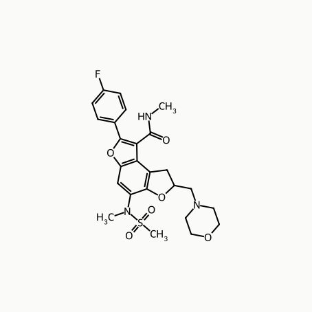 CNC(=O)c1c(-c2ccc(F)cc2)oc2cc(N(C)S(C)(=O)=O)c3c(c12)CC(CN1CCOCC1)O3